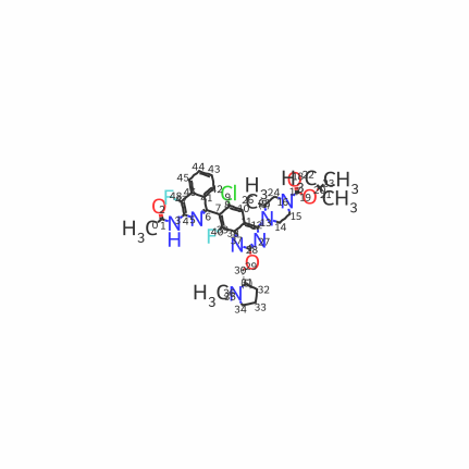 CC(=O)Nc1nc(-c2c(Cl)cc3c(N4CCN(C(=O)OC(C)(C)C)C[C@@H]4C)nc(OC[C@@H]4CCCN4C)nc3c2F)c2ccccc2c1F